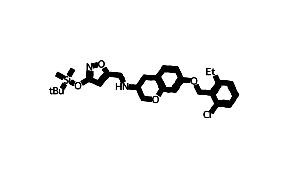 CCc1cccc(Cl)c1COc1ccc2c(c1)OCC(NCc1cc(O[Si](C)(C)C(C)(C)C)no1)C2